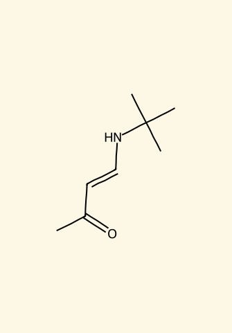 CC(=O)/C=C/NC(C)(C)C